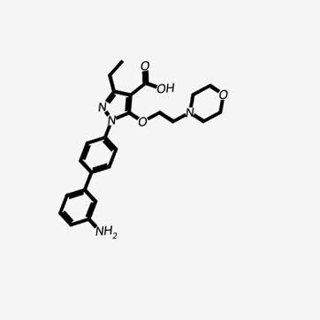 CCc1nn(-c2ccc(-c3cccc(N)c3)cc2)c(OCCN2CCOCC2)c1C(=O)O